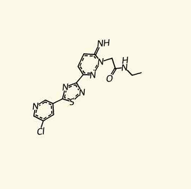 CCNC(=O)Cn1nc(-c2nsc(-c3cncc(Cl)c3)n2)ccc1=N